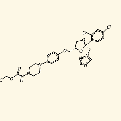 O=C(NN1CCN(c2ccc(OC[C@@H]3CO[C@@](Cn4cncn4)(c4ccc(Cl)cc4Cl)O3)cc2)CC1)OCC(F)(F)F